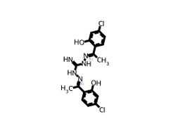 C/C(=N\NC(=N)N/N=C(\C)c1ccc(Cl)cc1O)c1ccc(Cl)cc1O